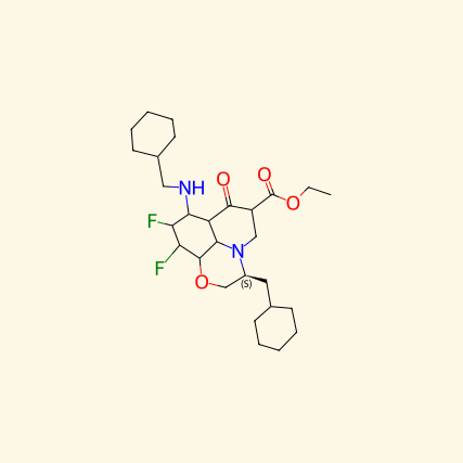 CCOC(=O)C1CN2C3C(OC[C@@H]2CC2CCCCC2)C(F)C(F)C(NCC2CCCCC2)C3C1=O